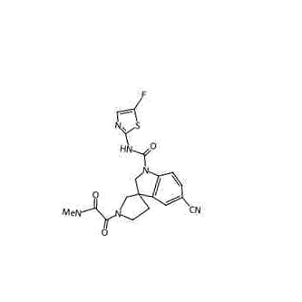 CNC(=O)C(=O)N1CCC2(C1)CN(C(=O)Nc1ncc(F)s1)c1ccc(C#N)cc12